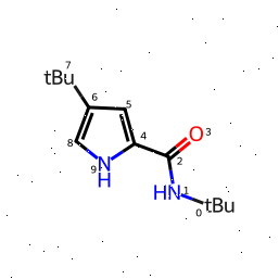 CC(C)(C)NC(=O)c1cc(C(C)(C)C)c[nH]1